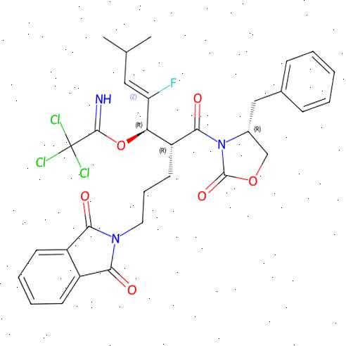 CC(C)/C=C(\F)[C@H](OC(=N)C(Cl)(Cl)Cl)[C@@H](CCCN1C(=O)c2ccccc2C1=O)C(=O)N1C(=O)OC[C@H]1Cc1ccccc1